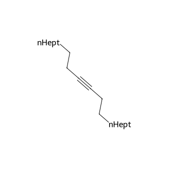 CCCCCCCCCC#CCCCCCCCCC